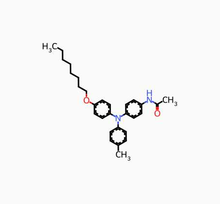 CCCCCCCCOc1ccc(N(c2ccc(C)cc2)c2ccc(NC(C)=O)cc2)cc1